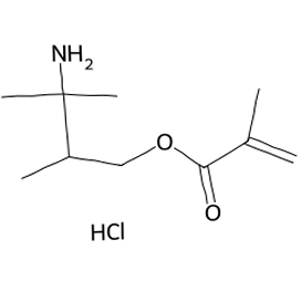 C=C(C)C(=O)OCC(C)C(C)(C)N.Cl